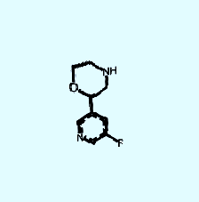 Fc1cncc(C2CNCCO2)c1